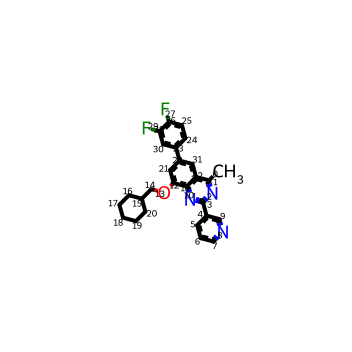 Cc1nc(-c2cccnc2)nc2c(OCC3CCCCC3)cc(-c3ccc(F)c(F)c3)cc12